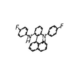 Fc1ccc(Nc2cccc(Nc3ccc(F)cc3)c2-c2cccc3ccccc23)cc1